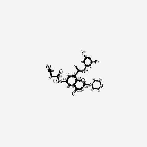 CC(Nc1cc(F)cc(F)c1)c1cc(NC(=O)CC#N)cc2c(=O)cc(N3CCOCC3)oc12